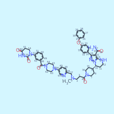 CN(CCC(=O)N1CCC([C@@H]2CCNc3c(C(N)=O)c(-c4ccc(Oc5ccccc5)cc4)nn32)CC1)Cc1ccc(N2CCN(C(=O)c3cccc(N4CCC(=O)NC4=O)c3)CC2)cn1